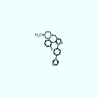 CN1CCN(Cc2cnn(-c3ccc(-n4ccnc4)cc3)c2-c2ccccc2F)CC1